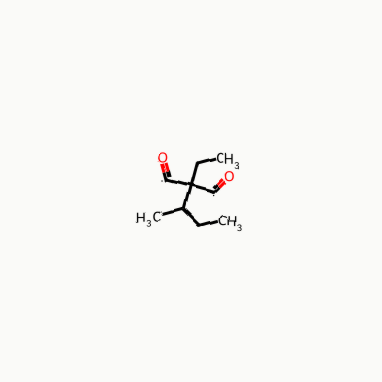 CCC(C)C([C]=O)([C]=O)CC